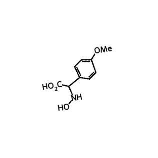 COc1ccc(C(NO)C(=O)O)cc1